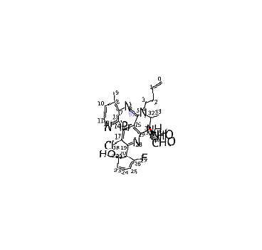 C=CCCN(/C(=N/c1c(C)ccnc1C(C)C)c1cc(Cl)c(-c2c(O)cccc2F)nc1NC=O)C(C)CNC=O